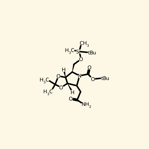 CC(C)(C)OC(=O)N1C(CC(N)=O)[C@@H]2OC(C)(C)O[C@@H]2[C@H]1CO[Si](C)(C)C(C)(C)C